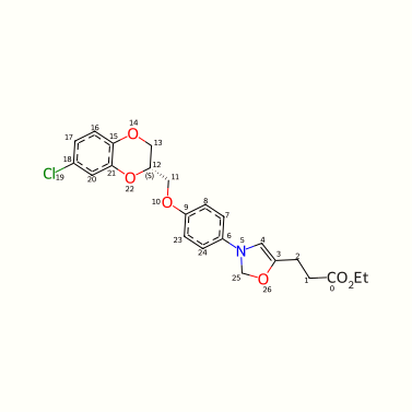 CCOC(=O)CCC1=CN(c2ccc(OC[C@H]3COc4ccc(Cl)cc4O3)cc2)CO1